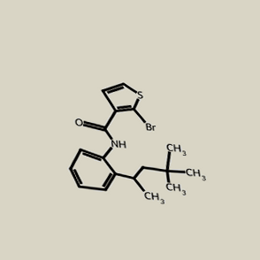 CC(CC(C)(C)C)c1ccccc1NC(=O)c1ccsc1Br